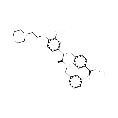 COc1cc([C@@H](Nc2ccc(C(=N)NO)cc2)C(=O)NCc2ccccc2)ccc1OCCN1CCOCC1